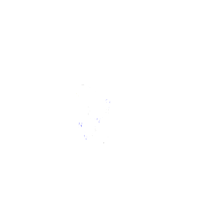 CC(C)(C)c1nnc2c3sccc3ncn12